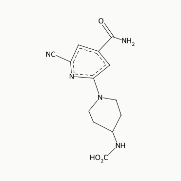 N#Cc1cc(C(N)=O)cc(N2CCC(NC(=O)O)CC2)n1